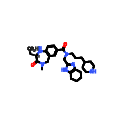 CN1Cc2cc(C(=O)N(CCCC3CCNCC3)Cc3nc4c([nH]3)CCCC4)ccc2N[C@@H](CC(=O)O)C1=O